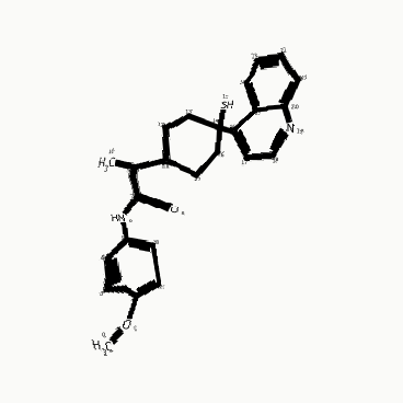 COc1ccc(NC(=O)C(C)C2CCC(S)(c3ccnc4ccccc34)CC2)cc1